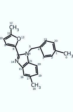 Cc1ccc(Cn2c(-c3ccc(C)o3)nc3cc(C)ccc32)cc1